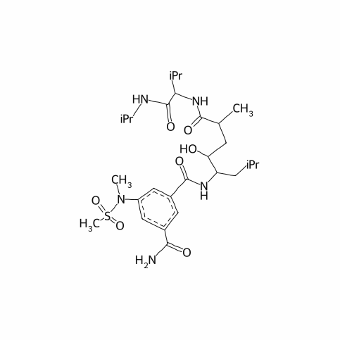 CC(C)CC(NC(=O)c1cc(C(N)=O)cc(N(C)S(C)(=O)=O)c1)C(O)CC(C)C(=O)NC(C(=O)NC(C)C)C(C)C